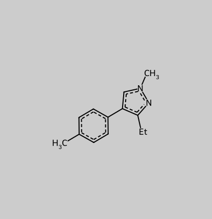 CCc1nn(C)cc1-c1ccc(C)cc1